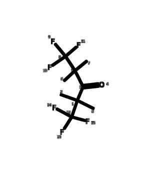 CC(C)(C(=O)C(C)(C)C(F)(F)F)C(F)(F)F